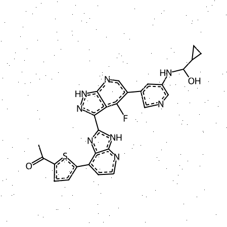 CC(=O)c1ccc(-c2ccnc3[nH]c(-c4n[nH]c5ncc(-c6cncc(NC(O)C7CC7)c6)c(F)c45)nc23)s1